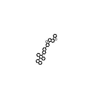 c1ccc2c(-c3c4ccccc4c(-c4ccc5cc(-c6ccc7c(c6)oc6ccc8c(ccc9oc%10ccccc%10c98)c67)ccc5c4)c4ccccc34)cccc2c1